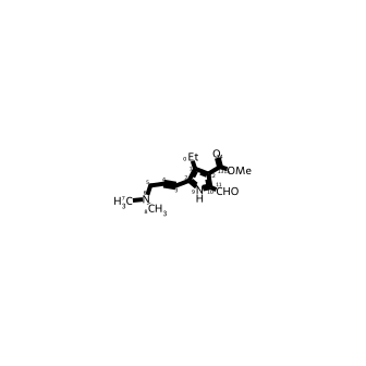 CCc1c(C#CCN(C)C)[nH]c(C=O)c1C(=O)OC